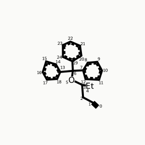 C#CCC(CC)OC(c1ccccc1)(c1ccccc1)c1ccccc1